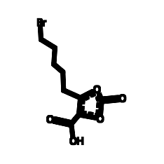 O=C(O)c1oc(=O)oc1CCCCCBr